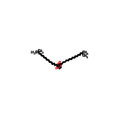 CC(C)CCCCCCCCCCCCCC[C](=O)[Zr]1(=[O])([C](=O)CCCCCCCCCCCCCCC(C)C)[O]CC[O]1